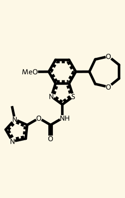 COc1ccc(C2COCCOC2)c2sc(NC(=O)Oc3cncn3C)nc12